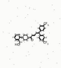 O=C(/C=C/C=C(c1ccc(C(F)(F)F)cc1)c1ccc(C(F)(F)F)cc1)N1CCN(c2ncccc2CO)CC1